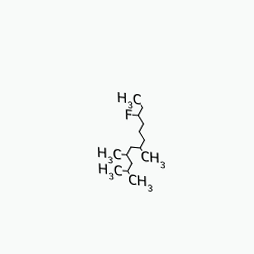 CCC(F)CCCC(C)CC(C)CC(C)C